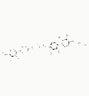 CCCCCc1ccc(-c2ccc(CCC3CCC(C4CCC(c5ccc(CC)c(F)c5F)CC4)CC3)c(F)c2F)c(F)c1F